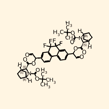 CC(C)(C)OC(=O)N1[C@@H]2CC[C@@H](C2)[C@H]1C(=O)OC(C=O)c1ccc2c(c1)C(F)(F)C(F)(F)c1cc(C(C=O)OC(=O)[C@@H]3[C@H]4CC[C@H](C4)N3C(=O)OC(C)(C)C)ccc1-2